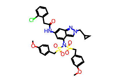 COc1ccc(CS(=O)(=O)N(c2cc(NC(=O)Cc3ccccc3Cl)cc3nn(CC4CC4)cc23)S(=O)(=O)Cc2ccc(OC)cc2)cc1